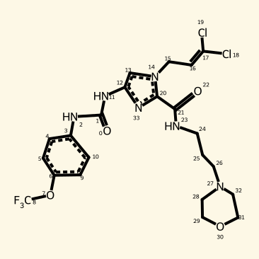 O=C(Nc1ccc(OC(F)(F)F)cc1)Nc1cn(CC=C(Cl)Cl)c(C(=O)NCCCN2CCOCC2)n1